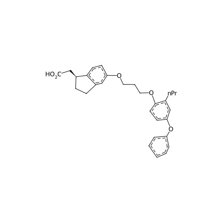 CCCc1cc(Oc2ccccc2)ccc1OCCCOc1ccc2c(c1)CC[C@H]2CC(=O)O